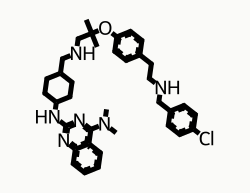 CN(C)c1nc(NC2CCC(CNCC(C)(C)Oc3ccc(CCNCc4ccc(Cl)cc4)cc3)CC2)nc2ccccc12